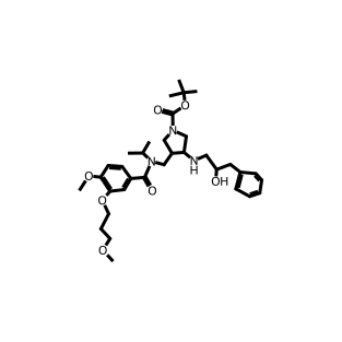 COCCCOc1cc(C(=O)N(CC2CN(C(=O)OC(C)(C)C)CC2NCC(O)Cc2ccccc2)C(C)C)ccc1OC